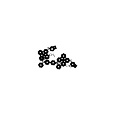 Cc1ccc(C)c(C2(c3ccc(SC4=CC5=C(CC4)CC5)cc3)c3ccccc3-c3ccc(N(c4ccccc4)c4ccc(-c5ccc(N(c6ccccc6)c6ccc7c(c6)C(c6ccc(Sc8ccc9c(c8)CC9)cc6)(c6cc(C)ccc6C)c6ccccc6-7)cc5)cc4)cc32)c1